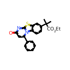 CCOC(=O)C(C)(C)c1ccc2c(c1)sc1nc(=O)cc(-c3ccccc3)n12